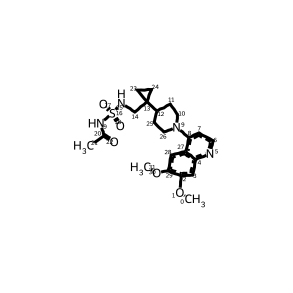 COc1cc2nccc(N3CCC(C4(CNS(=O)(=O)NC(C)=O)CC4)CC3)c2cc1OC